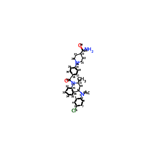 CC(=O)N(c1ccc(Cl)cc1)[C@@H]1C[C@H](C)N(C(=O)c2ccc(N3CCC(C(N)=O)CC3)cc2)c2ccccc21